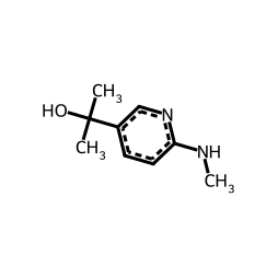 CNc1ccc(C(C)(C)O)cn1